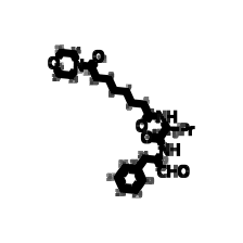 CC(C)[C@H](NC(=O)CCCCCCC(=O)N1CCOCC1)C(=O)NC(C=O)Cc1ccccc1